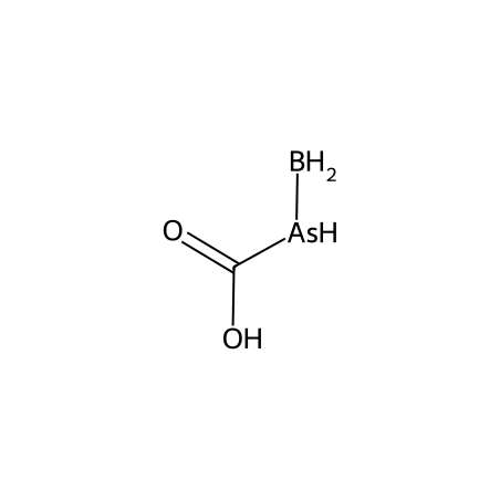 B[AsH]C(=O)O